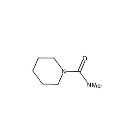 C[N]C(=O)N1CCCCC1